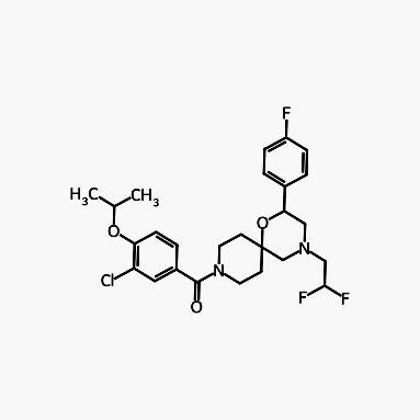 CC(C)Oc1ccc(C(=O)N2CCC3(CC2)CN(CC(F)F)CC(c2ccc(F)cc2)O3)cc1Cl